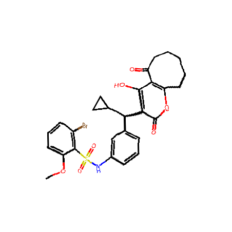 COc1cccc(Br)c1S(=O)(=O)Nc1cccc(C(c2c(O)c3c(oc2=O)CCCCCC3=O)C2CC2)c1